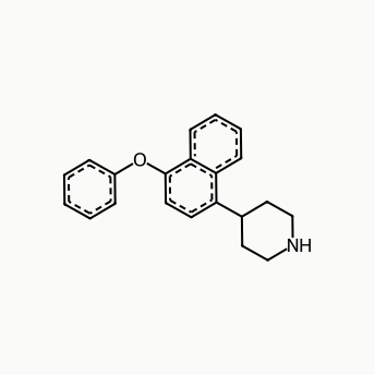 c1ccc(Oc2ccc(C3CCNCC3)c3ccccc23)cc1